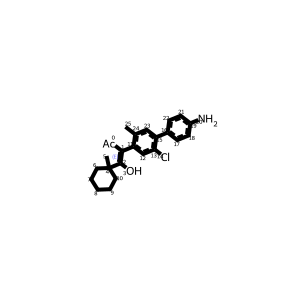 CC(=O)/C(=C(/O)C1(C)CCCCC1)c1cc(Cl)c(-c2ccc(N)cc2)cc1C